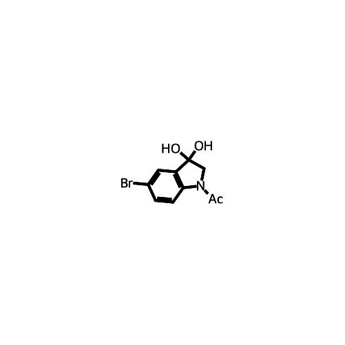 CC(=O)N1CC(O)(O)c2cc(Br)ccc21